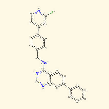 Fc1cc(-c2ccc(CNc3ncnc4cc(-c5ccccc5)ccc34)cc2)ccn1